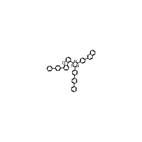 c1ccc(-c2ccc(-c3ccc(-c4nc(-c5ccc(-c6ccc7ccccc7c6)cc5)nc(-c5cccc6oc7c(-c8ccc(-c9ccccc9)cc8)cccc7c56)n4)cc3)cc2)cc1